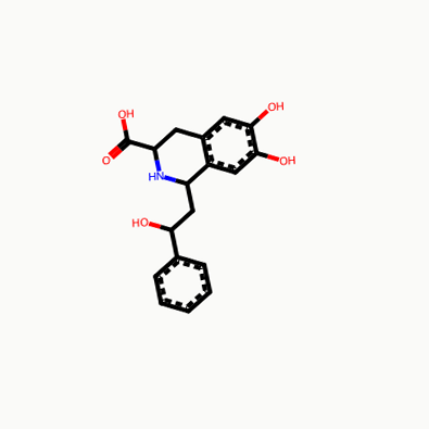 O=C(O)C1Cc2cc(O)c(O)cc2C(CC(O)c2ccccc2)N1